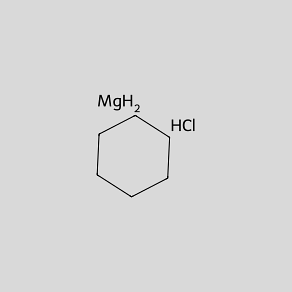 C1CCCCC1.Cl.[MgH2]